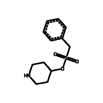 O=S(=O)(Cc1ccccc1)OC1CCNCC1